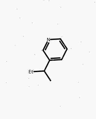 CCC(C)c1[c]nccc1